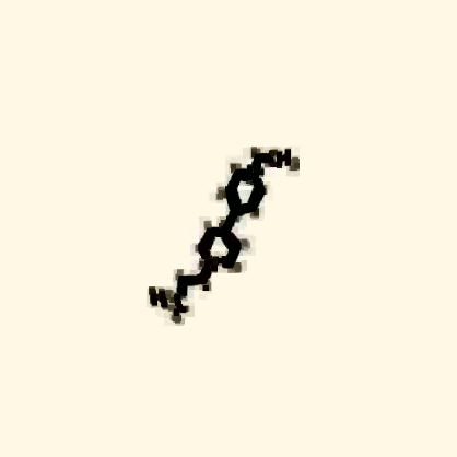 CCC[n+]1ccc(-c2cc[n+](CC)cc2)cc1